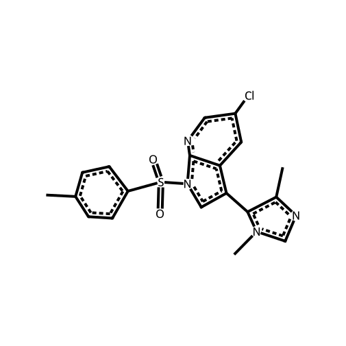 Cc1ccc(S(=O)(=O)n2cc(-c3c(C)ncn3C)c3cc(Cl)cnc32)cc1